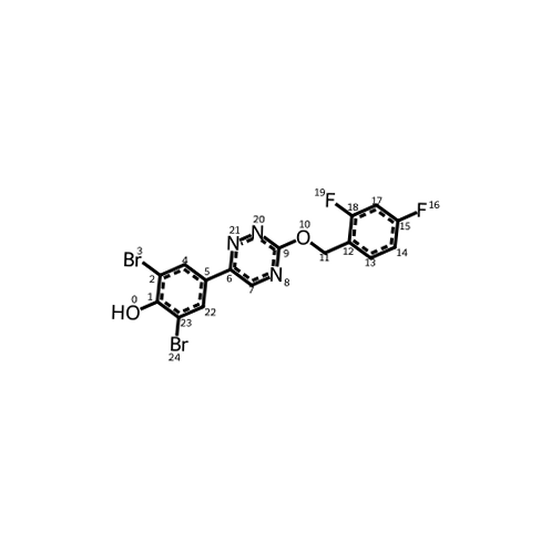 Oc1c(Br)cc(-c2cnc(OCc3ccc(F)cc3F)nn2)cc1Br